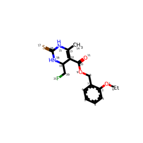 CCOc1ccccc1COC(=O)C1=C(C)NC(=S)NC1CF